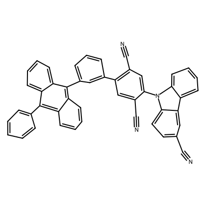 N#Cc1ccc2c(c1)c1ccccc1n2-c1cc(C#N)c(-c2cccc(-c3c4ccccc4c(-c4ccccc4)c4ccccc34)c2)cc1C#N